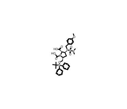 COc1ccc(CN([C@H]2C[C@@H](CO[Si](c3ccccc3)(c3ccccc3)C(C)(C)C)N(C(=O)O)[C@H]2C(=O)O)S(=O)(=O)N(C)C)cc1